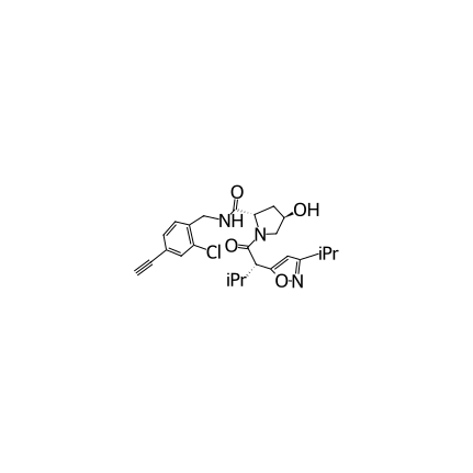 C#Cc1ccc(CNC(=O)[C@@H]2C[C@@H](O)CN2C(=O)[C@H](c2cc(C(C)C)no2)C(C)C)c(Cl)c1